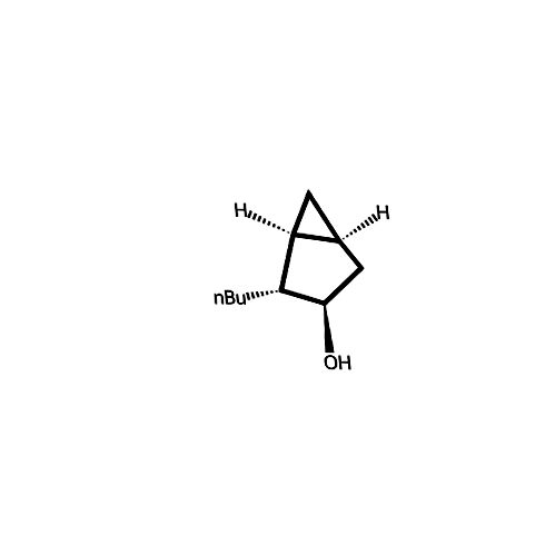 CCCC[C@@H]1[C@H]2C[C@H]2C[C@H]1O